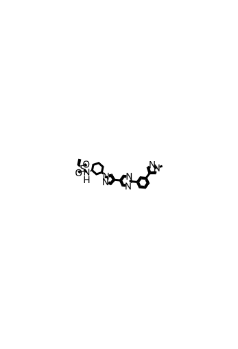 C=CS(=O)(=O)N[C@@H]1CCCC(n2cc(-c3cnc(-c4cccc(-c5cnn(C)c5)c4)nc3)cn2)C1